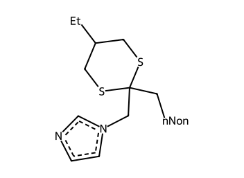 CCCCCCCCCCC1(Cn2ccnc2)SCC(CC)CS1